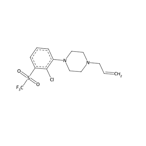 C=CCN1CCN(c2cccc(S(=O)(=O)C(F)(F)F)c2Cl)CC1